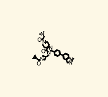 CN(C)CC(=O)N1CCC2(CC1)N=C(c1ccc(-c3ccc4c(cnn4C)c3)cc1)N(CC1CN(C(=O)C3CC3)C1)C2=O